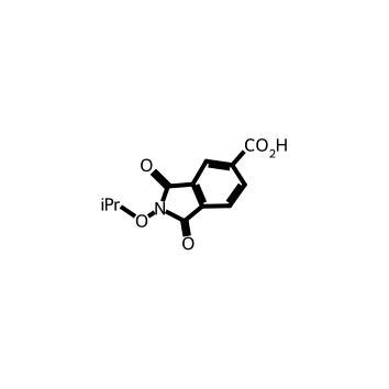 CC(C)ON1C(=O)c2ccc(C(=O)O)cc2C1=O